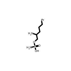 CC(C)CCCC(N)COP(N)(=O)O